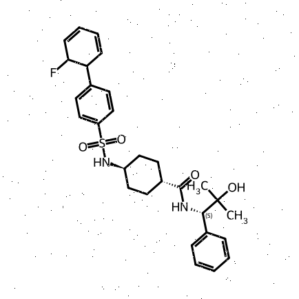 CC(C)(O)[C@@H](NC(=O)[C@H]1CC[C@H](NS(=O)(=O)c2ccc(C3C=CC=CC3F)cc2)CC1)c1ccccc1